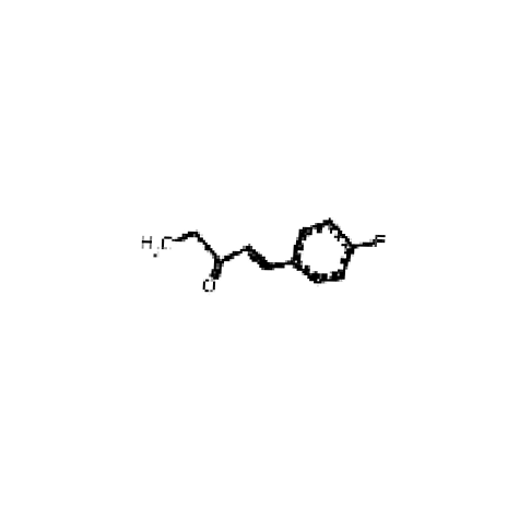 CCC(=O)/C=C/c1ccc(F)cc1